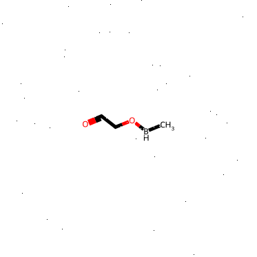 CBOCC=O